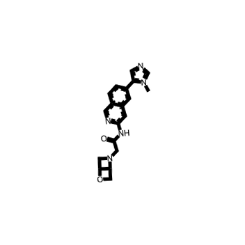 Cn1cncc1-c1ccc2cnc(NC(=O)CN3CC4OCC43)cc2c1